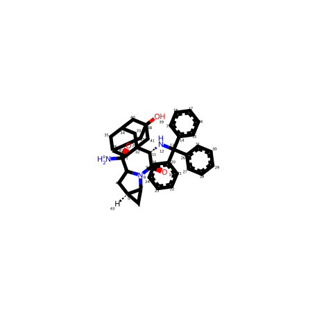 NC(=O)C1C[C@@H]2CC2N1C(=O)[C@@H](NC(c1ccccc1)(c1ccccc1)c1ccccc1)C12CC3CC(CC(O)(C3)C1)C2